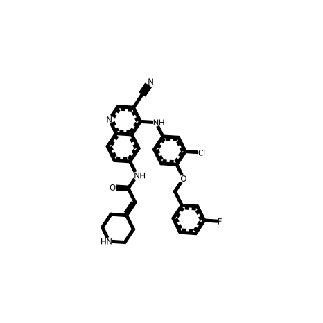 N#Cc1cnc2ccc(NC(=O)C=C3CCNCC3)cc2c1Nc1ccc(OCc2cccc(F)c2)c(Cl)c1